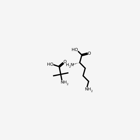 CC(C)(N)C(=O)O.NCCC[C@H](N)C(=O)O